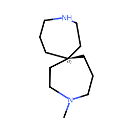 CN1CCC[C@]2(CCCNCC2)CC1